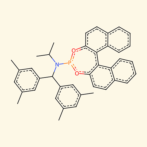 Cc1cc(C)cc(C(c2cc(C)cc(C)c2)N(C(C)C)p2oc3ccc4ccccc4c3c3c(ccc4ccccc43)o2)c1